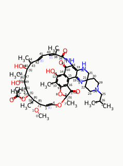 CO[C@H]1/C=C/O[C@@]2(C)Oc3c(C)c(O)c4c(c3C2=O)C2=NC3(CCN(CC(C)C)CC3)CNC2=C(NC(=O)/C(C)=C\C=C\[C@H](C)[C@H](O)[C@@H](C)[C@@H](O)[C@@H](C)[C@H](OC(C)=O)[C@@H]1C)C4=O